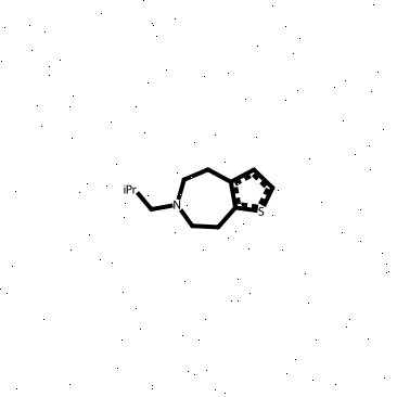 CC(C)CN1CCc2ccsc2CC1